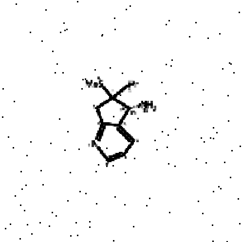 CSC1(C(C)C)Cc2ncccc2[C@H]1N